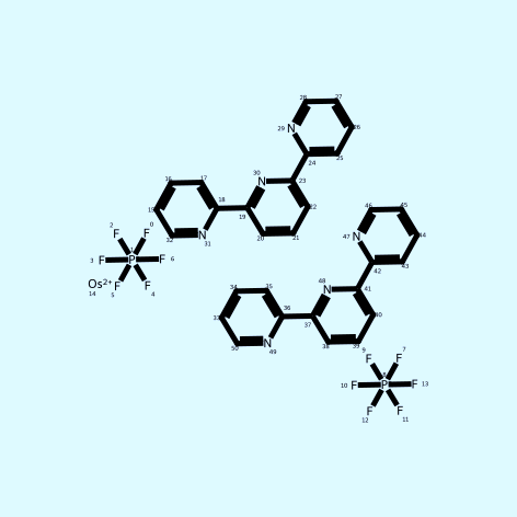 F[P-](F)(F)(F)(F)F.F[P-](F)(F)(F)(F)F.[Os+2].c1ccc(-c2cccc(-c3ccccn3)n2)nc1.c1ccc(-c2cccc(-c3ccccn3)n2)nc1